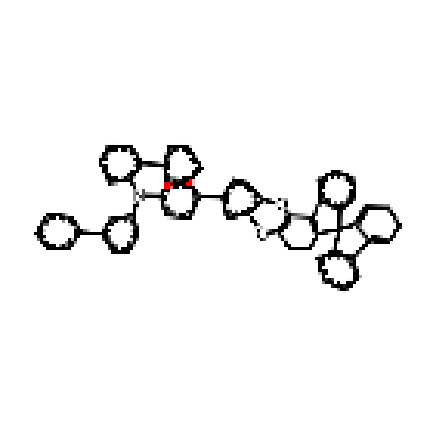 C1=C2C(=CCC1)C1(C3=C(C4=C(CC3)Oc3cc(-c5ccc(N(c6cccc(-c7ccccc7)c6)c6ccccc6-c6ccccc6)cc5)ccc3O4)c3ccccc31)c1ccccc12